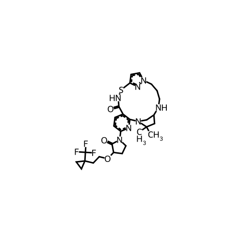 CC1(C)CC2CN1c1nc(N3CCC(OCCC4(C(F)(F)F)CC4)C3=O)ccc1C(=O)NSc1ccn(n1)CCCN2